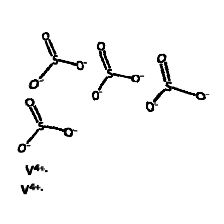 O=S([O-])[O-].O=S([O-])[O-].O=S([O-])[O-].O=S([O-])[O-].[V+4].[V+4]